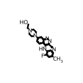 Cc1ccc(Nc2c(C#N)nnc3cc(N4CCN(CCO)CC4)ccc23)c(F)c1